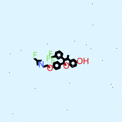 CC1=C(c2cccc(C(F)(F)F)c2)C(c2ccc(OCCN3CC(CF)C3)cc2)Oc2ccc(O)cc21